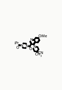 COc1ccc2c(N3CCC(C)(C#N)CC3)c(C(=O)N3CCN(C(=O)C(C)C)CC3)cnc2c1